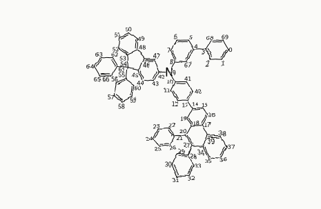 c1ccc(-c2cccc(N(c3ccc(-c4ccc5c(c4)c(-c4ccccc4)c(-c4ccccc4)c4ccccc45)cc3)c3ccc4c(c3)-c3ccccc3C4(c3ccccc3)c3ccccc3)c2)cc1